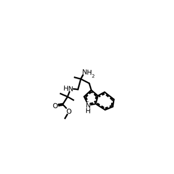 COC(=O)C(C)(C)NCC(C)(N)Cc1c[nH]c2ccccc12